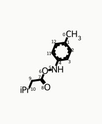 Cc1ccc(NOC(=O)CC(C)C)cc1